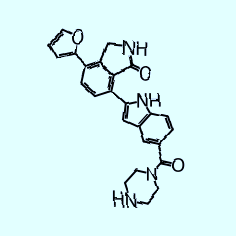 O=C1NCc2c(-c3ccco3)ccc(-c3cc4cc(C(=O)N5CCNCC5)ccc4[nH]3)c21